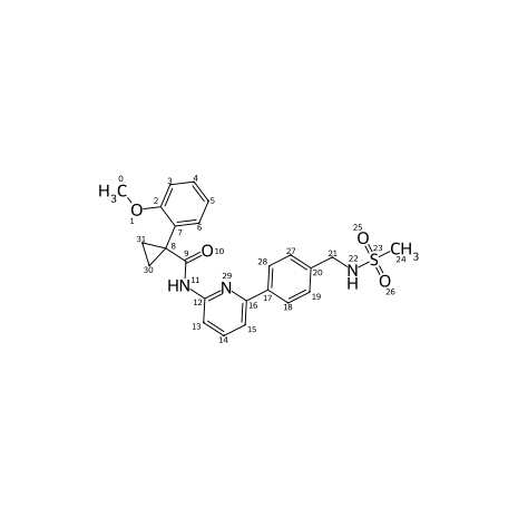 COc1ccccc1C1(C(=O)Nc2cccc(-c3ccc(CNS(C)(=O)=O)cc3)n2)CC1